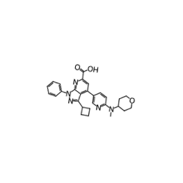 CN(c1ccc(-c2cc(C(=O)O)nc3c2c(C2CCC2)nn3-c2ccccc2)cn1)C1CCOCC1